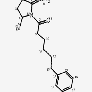 C=C1CCC(Br)N1C(=O)CCCCCc1ccccc1